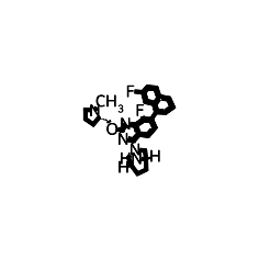 CN1CCC[C@H]1COc1nc(N2C[C@H]3CC[C@@H](C2)N3)c2ccc(-c3cccc4ccc(F)cc34)c(F)c2n1